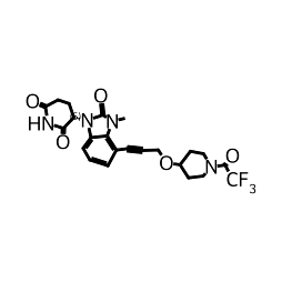 Cn1c(=O)n([C@H]2CCC(=O)NC2=O)c2cccc(C#CCOC3CCN(C(=O)C(F)(F)F)CC3)c21